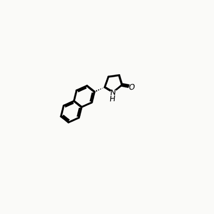 O=C1CC[C@@H](c2ccc3ccccc3c2)N1